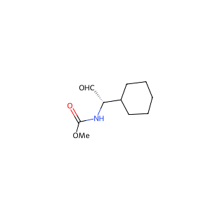 COC(=O)N[C@H](C=O)C1CCCCC1